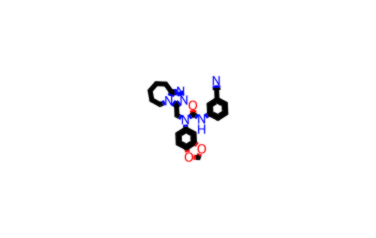 N#Cc1cccc(NC(=O)N(Cc2nnc3n2CCCCC3)c2ccc3c(c2)OCO3)c1